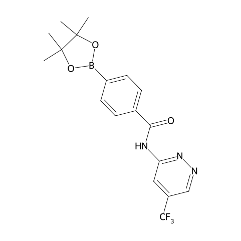 CC1(C)OB(c2ccc(C(=O)Nc3cc(C(F)(F)F)cnn3)cc2)OC1(C)C